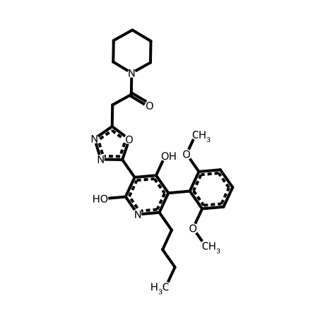 CCCCc1nc(O)c(-c2nnc(CC(=O)N3CCCCC3)o2)c(O)c1-c1c(OC)cccc1OC